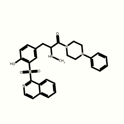 CNC(Cc1ccc(O)c(S(=O)(=O)c2nccc3ccccc23)c1)C(=O)N1CCN(c2ccccc2)CC1